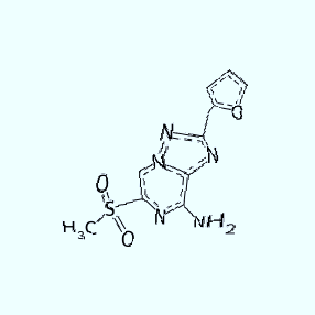 CS(=O)(=O)c1cn2nc(-c3ccco3)nc2c(N)n1